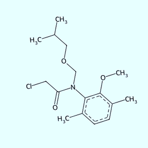 COc1c(C)ccc(C)c1N(COCC(C)C)C(=O)CCl